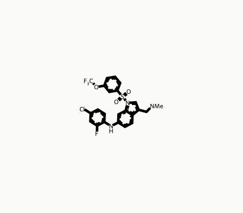 CNCc1cn(S(=O)(=O)c2cccc(OC(F)(F)F)c2)c2cc(Nc3ccc(Cl)cc3F)ccc12